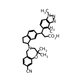 Cc1c(C(CC(=O)O)c2ccc3c(c2)C(N2Cc4ccc(C#N)cc4OC(C)(C)C2)CC3)ccc2c1nnn2C